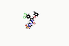 Cc1cccc(OC[C@@H]2CN(C(=O)N3CCN(S(C)(=O)=O)CC3)C[C@H]2c2ccc(Cl)c(Cl)c2)c1